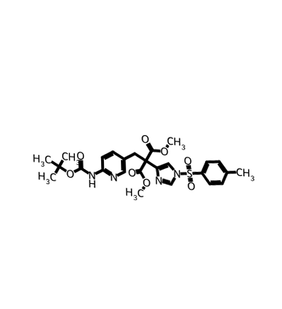 COC(=O)C(Cc1ccc(NC(=O)OC(C)(C)C)nc1)(C(=O)OC)c1cn(S(=O)(=O)c2ccc(C)cc2)cn1